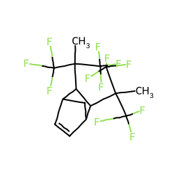 CC(C1C2C=CC(C2)C1C(C)(C(F)(F)F)C(F)(F)F)(C(F)(F)F)C(F)(F)F